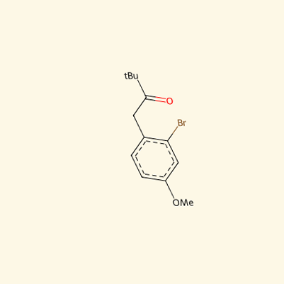 COc1ccc(CC(=O)C(C)(C)C)c(Br)c1